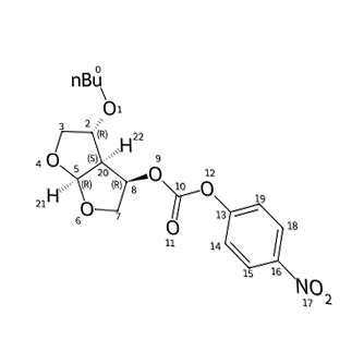 CCCCO[C@H]1CO[C@@H]2OC[C@H](OC(=O)Oc3ccc([N+](=O)[O-])cc3)[C@@H]21